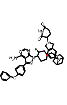 Nc1ncnc2c1c(-c1ccc(Oc3ccccc3)cc1)nn2C1CCC(CN2CC3CC(C2)N3c2ccc3c(c2)CN(C2CCC(=O)NC2=O)C3)CC1F